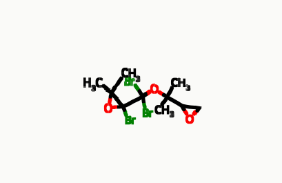 CC(C)(OC(Br)(Br)C1(Br)OC1(C)C)C1CO1